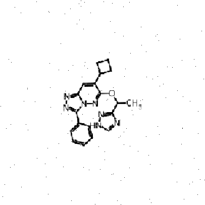 CC(Oc1nn2c(-c3ccccc3)nnc2cc1C1CCC1)c1nc[nH]n1